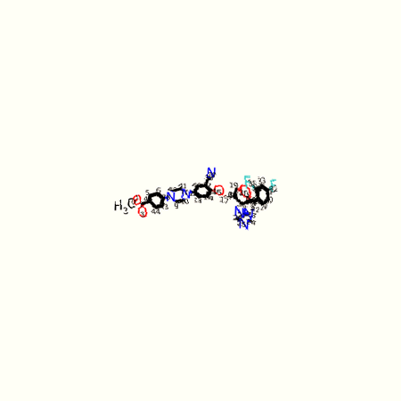 COC(=O)c1ccc(N2CCN(c3ccc(OC[C@@H]4CO[C@@](Cn5cncn5)(c5ccc(F)cc5F)C4)c(C#N)c3)CC2)cc1